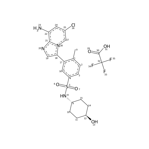 Cc1ccc(S(=O)(=O)N[C@H]2CC[C@H](O)CC2)cc1-c1cnc2c(N)cc(Cl)cn12.O=C(O)C(F)(F)F